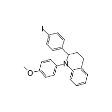 COc1ccc(N2c3ccccc3CCC2c2ccc(I)cc2)cc1